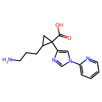 NCCCC1CC1(C(=O)O)c1cn(-c2ccccn2)cn1